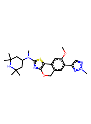 COc1cc2c(cc1-c1cnn(C)n1)COc1nc(N(C)C3CC(C)(C)NC(C)(C)C3)sc1-2